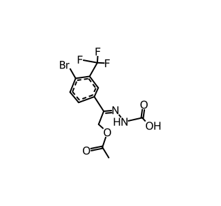 CC(=O)OC/C(=N\NC(=O)O)c1ccc(Br)c(C(F)(F)F)c1